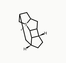 C[S@]12CC3CC1CC1C2C2[C@H](CC[C@@H]12)C3